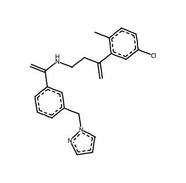 C=C(NCCC(=C)c1cc(Cl)ccc1C)c1cccc(Cn2cccn2)c1